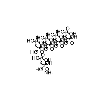 N.O=P(O)(O)CP(=O)(O)O.O=P(O)(O)CP(=O)(O)O.O=P(O)(O)CP(=O)(O)O.O=P(O)(O)CP(=O)(O)O.O=P(O)(O)CP(=O)(O)O